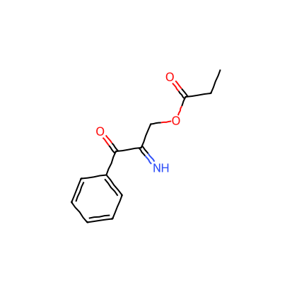 CCC(=O)OCC(=N)C(=O)c1ccccc1